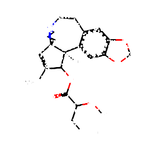 CCOC(=O)CC(OC(C)C)C(=O)OC1C(OC)=CC23CCCN2CCc2cc4c(cc2[C@H]13)OCO4